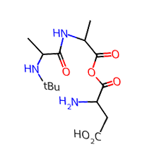 CC(NC(C)(C)C)C(=O)NC(C)C(=O)OC(=O)C(N)CC(=O)O